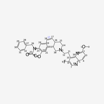 COc1ccc2ncc(F)c(CCN3CCC(/C=C\c4ccc5c(c4)N(Cc4ccccc4)C(=O)CO5)CC3)c2n1